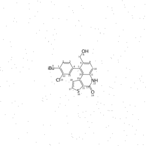 CCC(C)c1ccc(-c2c(CO)ccc3[nH]c(=O)c4sccc4c23)cc1Cl